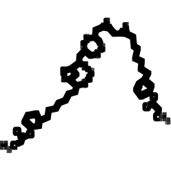 CCC(=O)Oc1cccc(CCCCCCCC2SSSSC(CC3CSSCC(CC4SC4CC4SC4CCCCCCCc4cccc(OC(=O)CC)c4)SS3)C3CC2SS3)c1